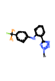 CC(C)n1nnc(-c2ccccc2Nc2ccc(C(F)(P)P)cc2)n1